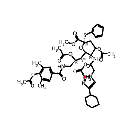 COC(=O)[C@@]1(Sc2ccccc2)CC(OC(C)=O)[C@@H](NC(=O)Cn2cc(C3CCCCC3)nn2)C([C@H](OC(C)=O)[C@@H](CNC(=O)c2cc(C)c(OC(C)=O)c(C)c2)OC(C)=O)O1